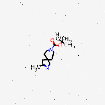 CC1=NCC2(CCN(C(=O)OC(C)(C)C)CC2)C1